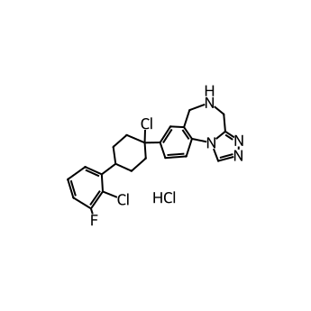 Cl.Fc1cccc(C2CCC(Cl)(c3ccc4c(c3)CNCc3nncn3-4)CC2)c1Cl